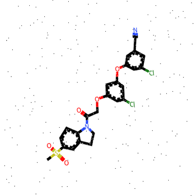 CS(=O)(=O)c1ccc2c(c1)CCN2C(=O)COc1cc(Cl)cc(Oc2cc(Cl)cc(C#N)c2)c1